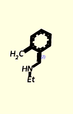 C=c1cccc/c1=C/NCC